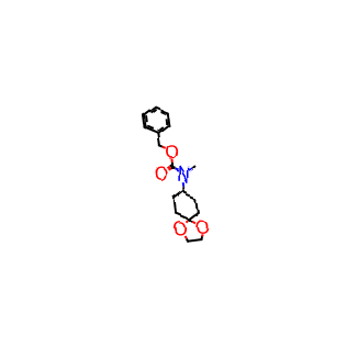 CN(C(=O)OCc1ccccc1)C1CCC2(CC1)OCCO2